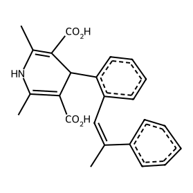 CC(=Cc1ccccc1C1C(C(=O)O)=C(C)NC(C)=C1C(=O)O)c1ccccc1